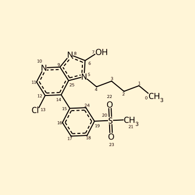 CCCCCn1c(O)nc2ncc(Cl)c(-c3cccc(S(C)(=O)=O)c3)c21